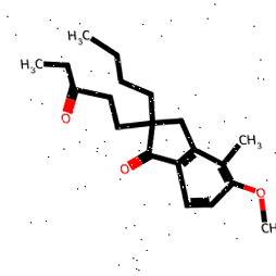 CCCCC1(CCC(=O)CC)Cc2c(ccc(OC)c2C)C1=O